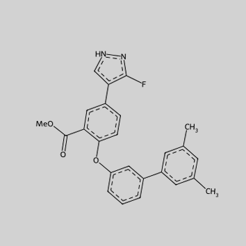 COC(=O)c1cc(-c2c[nH]nc2F)ccc1Oc1cccc(-c2cc(C)cc(C)c2)c1